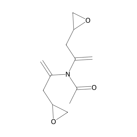 C=C(CC1CO1)N(C(=C)CC1CO1)C(C)=O